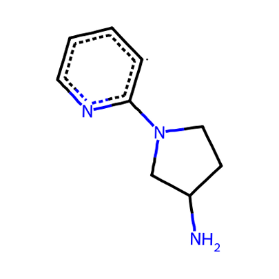 NC1CCN(c2[c]cccn2)C1